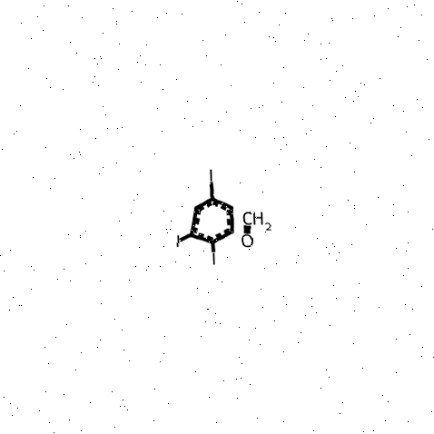 C=O.Ic1ccc(I)c(I)c1